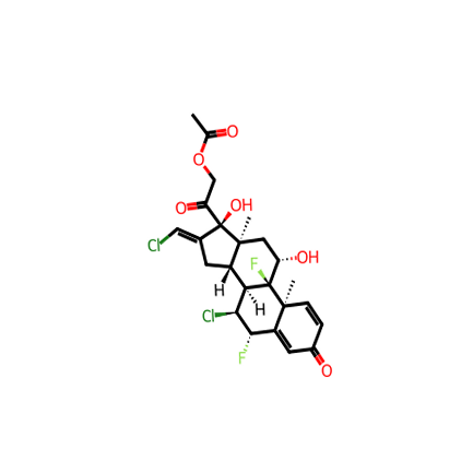 CC(=O)OCC(=O)[C@@]1(O)C(=CCl)C[C@H]2[C@@H]3[C@H](Cl)[C@@H](F)C4=CC(=O)C=C[C@]4(C)[C@@]3(F)[C@@H](O)C[C@@]21C